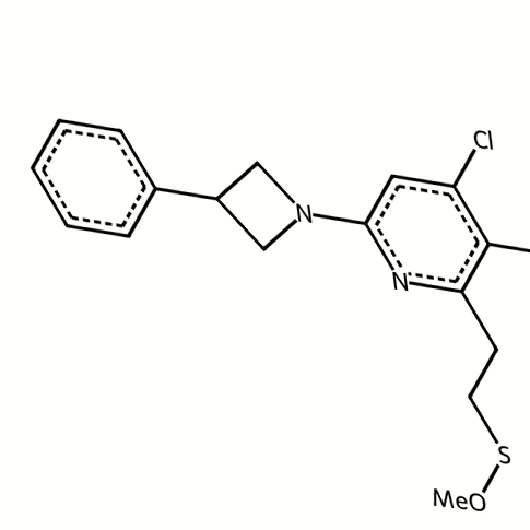 COSCCc1nc(N2CC(c3ccccc3)C2)cc(Cl)c1C